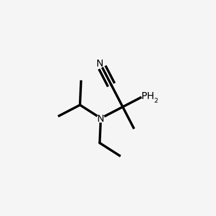 CCN(C(C)C)C(C)(P)C#N